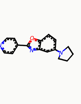 c1cc(-c2nc3cc(N4CCCC4)ccc3o2)ccn1